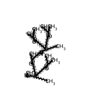 CCCCCCCCCN(CCCCn1ccnc1C)C(CCCCCCCCC(=O)OCC(CCCC)CCCCCC)CCCCCCCCC(=O)OCC(CCCC)CCCCCCc1cn(CCN(CCCCCCCCC)C(CCCCCCCCC(=O)OCC(CCCC)CCCCCC)CCCCCCCCC(=O)OCC(CCCC)CCCCCC)cn1